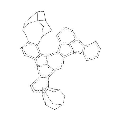 c1ccc2c(c1)c1cccc3c4c5c6c7c(ncc6n6c8ccc9c(c8c(cc4n2c13)c56)C1CC2CC(CC9C2)C1)C1CC2CC3CC7CC23C1